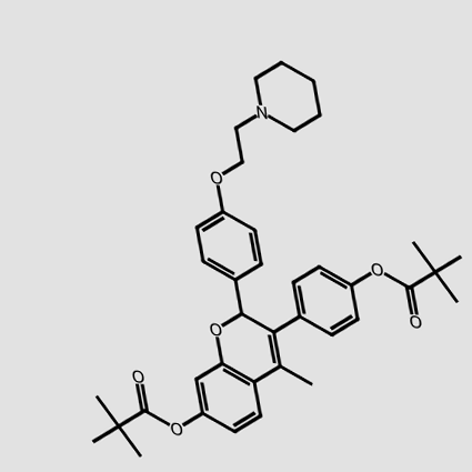 CC1=C(c2ccc(OC(=O)C(C)(C)C)cc2)C(c2ccc(OCCN3CCCCC3)cc2)Oc2cc(OC(=O)C(C)(C)C)ccc21